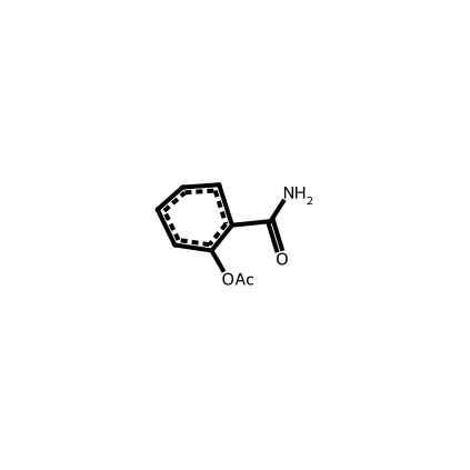 CC(=O)Oc1ccccc1C(N)=O